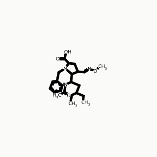 CCC(CC)CC(NC(C)=O)C1C(C=NOC)CC(C(=O)O)N1Cc1ccccc1